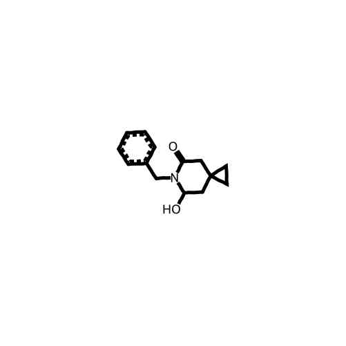 O=C1CC2(CC2)CC(O)N1Cc1ccccc1